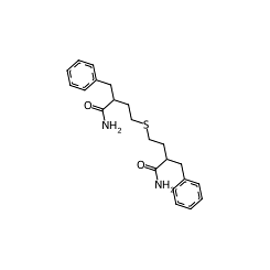 NC(=O)C(CCSCCC(Cc1ccccc1)C(N)=O)Cc1ccccc1